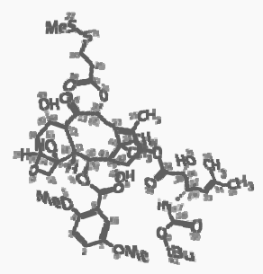 COc1ccc(OC)c(C(=O)O[C@H]2[C@H]3C(C(=O)[C@H](OC(=O)CCSSC)C4=C(C)[C@@H](OC(=O)[C@H](O)[C@H](C=C(C)C)NC(=O)OC(C)(C)C)C[C@]2(O)C4(C)C)[C@@H](O)C[C@H]2OC[C@@]32O)c1